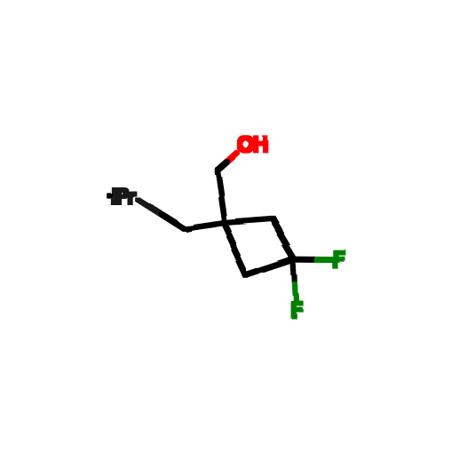 C[C](C)CC1(CO)CC(F)(F)C1